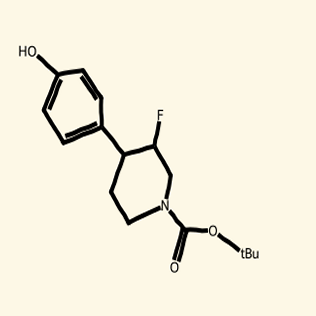 CC(C)(C)OC(=O)N1CCC(c2ccc(O)cc2)C(F)C1